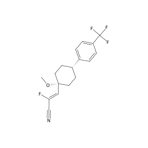 CO[C@]1(C=C(F)C#N)CC[C@H](c2ccc(C(F)(F)F)cc2)CC1